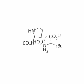 CC(=O)O.CCC(C)C(N)C(=O)O.O=C(O)C1CCCN1